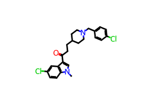 Cn1cc(C(=O)CCC2CCN(Cc3ccc(Cl)cc3)CC2)c2cc(Cl)ccc21